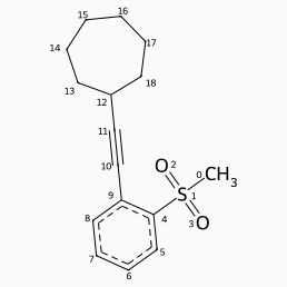 CS(=O)(=O)c1ccccc1C#CC1CCCCCC1